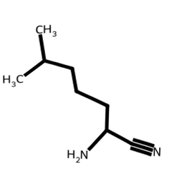 CC(C)CCCC(N)C#N